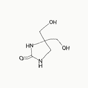 O=C1NCC(CO)(CO)N1